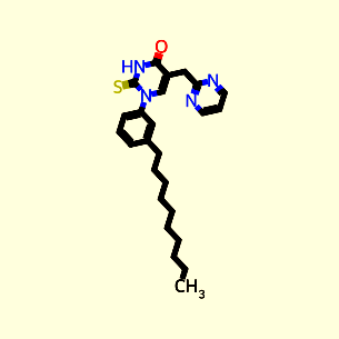 CCCCCCCCCCc1cccc(-n2cc(Cc3ncccn3)c(=O)[nH]c2=S)c1